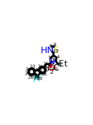 C=C(CC)C1CC(C2NC=CS2)CN1C(=O)Cc1ccc2c(c1)-c1ccccc1C2(F)F